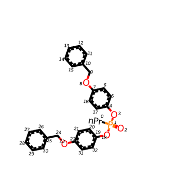 CCCP(=O)(Oc1ccc(OCc2ccccc2)cc1)Oc1ccc(OCc2ccccc2)cc1